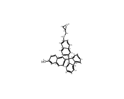 Oc1ccc2cc(C3(c4ccc5cc(OCC6CO6)ccc5c4)c4ccccc4-c4ccccc43)ccc2c1